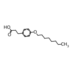 CCCCCCCCOc1ccc(CCC(=O)O)cc1